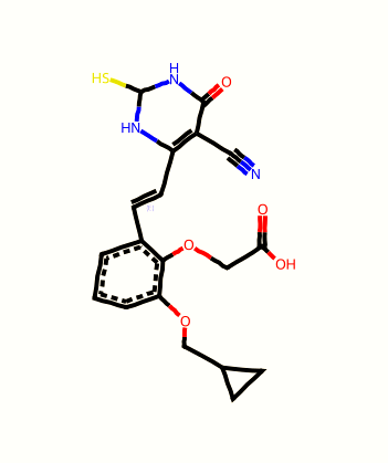 N#CC1=C(/C=C/c2cccc(OCC3CC3)c2OCC(=O)O)NC(S)NC1=O